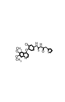 COc1cc2nccc(Oc3ccc(NC(=S)NC(=O)Cc4cccs4)cc3Cl)c2cc1OC